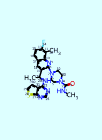 CNC(=O)N1CCN(c2nc3c(C)c(F)ccc3cc2[C@H](C)Nc2ncnc3sccc23)CC1